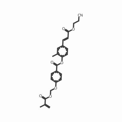 C=C(C)C(=O)OCOc1ccc(C(=O)Oc2ccc(/C=C/C(=O)OCCC#N)cc2C)cc1